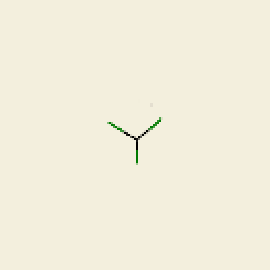 FC(F)F.[SiH4]